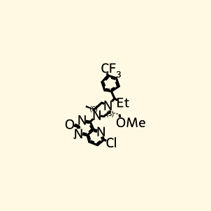 CCC(c1ccc(C(F)(F)F)cc1)N1C[C@H](C)N(c2nc(=O)n(C)c3ccc(Cl)nc23)C[C@H]1COC